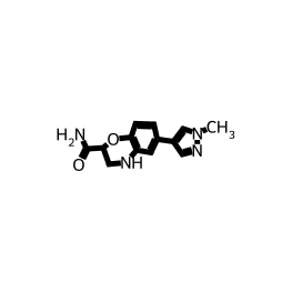 Cn1cc(-c2ccc3c(c2)NCC(C(N)=O)O3)cn1